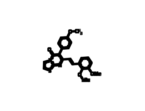 CCCCOc1c(C=Cc2nc3sccn3c(=O)c2-c2ccc(OC(F)(F)F)cc2)cccc1OC